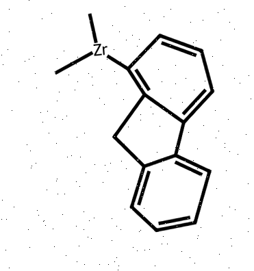 [CH3][Zr]([CH3])[c]1cccc2c1Cc1ccccc1-2